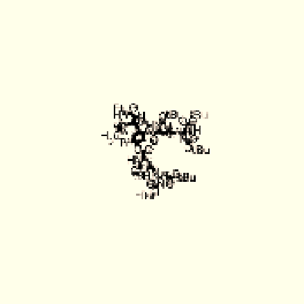 CCNC(=O)c1noc(-c2cc(C(C)C)c(OC(=O)[C@H](CCCNC(=NC(=O)OC(C)(C)C)NC(=O)OC(C)(C)C)NC(=O)OC(C)(C)C)cc2OC(=O)C(CCCNC(=NC(=O)OC(C)(C)C)NC(=O)OC(C)(C)C)NC(=O)OC(C)(C)C)c1-c1noc(C)n1